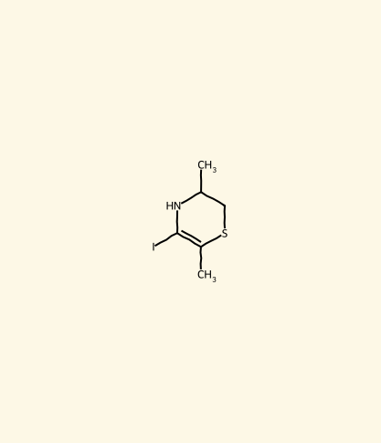 CC1=C(I)NC(C)CS1